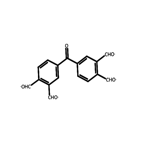 O=[C]c1ccc(C(=O)c2ccc([C]=O)c([C]=O)c2)cc1[C]=O